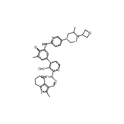 Cc1sc2c(c1/C=N\N(C=O)c1nccc(-c3cc(Nc4ccc(N5CCN(C6COC6)C(C)C5)cn4)c(=O)n(C)c3)c1C=O)CCCC2